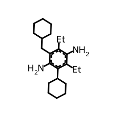 CCc1c(N)c(CC)c(C2CCCCC2)c(N)c1CC1CCCCC1